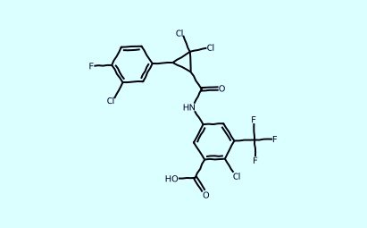 O=C(O)c1cc(NC(=O)C2C(c3ccc(F)c(Cl)c3)C2(Cl)Cl)cc(C(F)(F)F)c1Cl